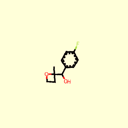 CC1(C(O)c2ccc(F)cc2)CCO1